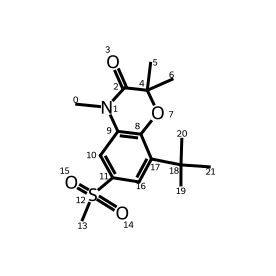 CN1C(=O)C(C)(C)Oc2c1cc(S(C)(=O)=O)cc2C(C)(C)C